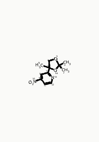 CC1(C)OCC(C)(c2cc([N+](=O)[O-])ccn2)O1